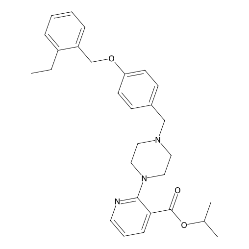 CCc1ccccc1COc1ccc(CN2CCN(c3ncccc3C(=O)OC(C)C)CC2)cc1